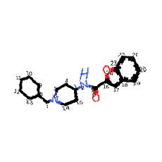 O=C(NC1CCN(CC2CCCCC2)CC1)c1cc2ccccc2o1